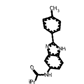 Cc1ccc(-c2nc3cc(NC(=O)C(C)C)ccc3[nH]2)cc1